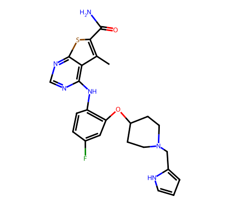 Cc1c(C(N)=O)sc2ncnc(Nc3ccc(F)cc3OC3CCN(Cc4ccc[nH]4)CC3)c12